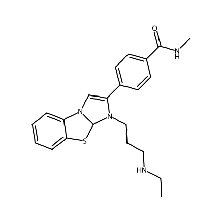 CCNCCCN1C(c2ccc(C(=O)NC)cc2)=CN2c3ccccc3SC12